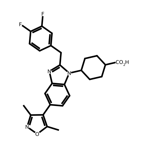 Cc1noc(C)c1-c1ccc2c(c1)nc(Cc1ccc(F)c(F)c1)n2C1CCC(C(=O)O)CC1